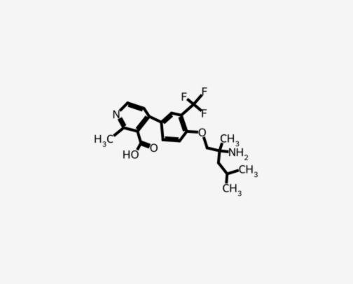 Cc1nccc(-c2ccc(OCC(C)(N)CC(C)C)c(C(F)(F)F)c2)c1C(=O)O